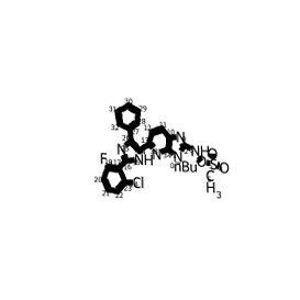 CCCCn1c(NOS(C)(=O)=O)nc2ccc(-c3[nH]c(-c4c(F)cccc4Cl)nc3-c3ccccc3)nc21